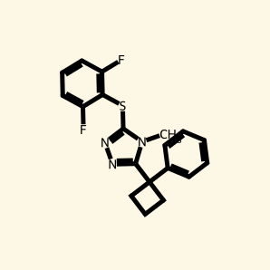 Cn1c(Sc2c(F)cccc2F)nnc1C1(c2ccccc2)CCC1